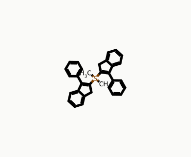 CS(C)(C1=C(c2ccccc2)c2ccccc2C1)C1=C(c2ccccc2)c2ccccc2C1